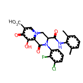 Cc1cccc(C)c1NC(=O)C1Cn2cc(C(=O)O)c(=O)c(O)c2C(=O)N1c1cccc(Cl)c1F